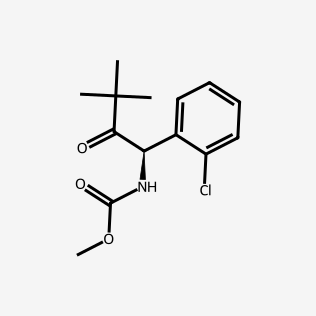 COC(=O)N[C@@H](C(=O)C(C)(C)C)c1ccccc1Cl